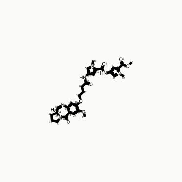 COC(=O)c1cc(NC(=O)c2cc(NC(=O)CCCOc3cc4c(cc3OC)C(=O)N3CCC[C@H]3C=N4)cn2C)cn1C